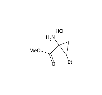 CCC1CC1(N)C(=O)OC.Cl